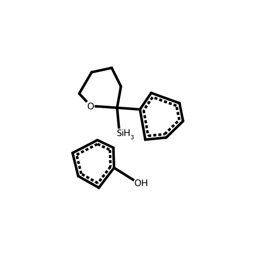 Oc1ccccc1.[SiH3]C1(c2ccccc2)CCCCO1